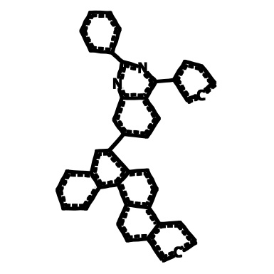 c1ccc(-c2nc(-c3ccccc3)c3ccc(-c4cc5ccccc5c5c4ccc4c6ccccc6ccc45)cc3n2)cc1